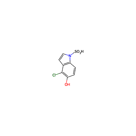 O=S(=O)(O)n1ccc2c(Cl)c(O)ccc21